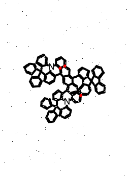 c1ccc(N2c3ccccc3C(c3ccccc3)(c3ccccc3)c3cccc(-c4cccc5c(-c6cccc7c6-c6ccccc6C76c7ccccc7-c7ccccc76)c6cccc(-c7cccc8c7N(c7ccccc7)c7ccccc7C8(c7ccccc7)c7ccccc7)c6cc45)c32)cc1